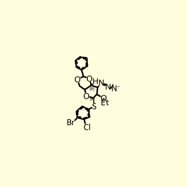 CCOC1C(N=[N+]=[N-])[C@H]2OC(c3ccccc3)OCC2O[C@@H]1Sc1ccc(Br)c(Cl)c1